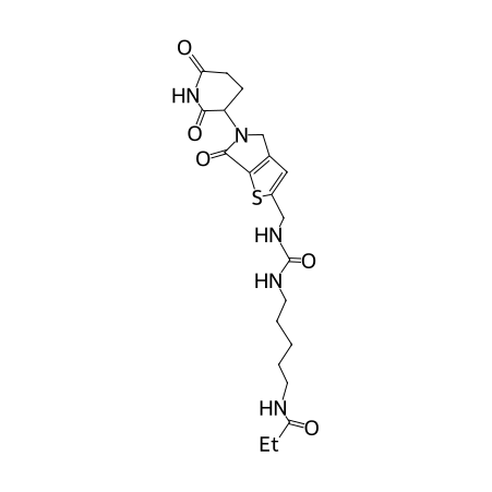 CCC(=O)NCCCCCNC(=O)NCc1cc2c(s1)C(=O)N(C1CCC(=O)NC1=O)C2